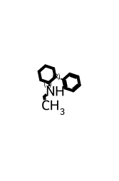 CCN[C@H]1CCCC[C@@H]1c1ccccc1